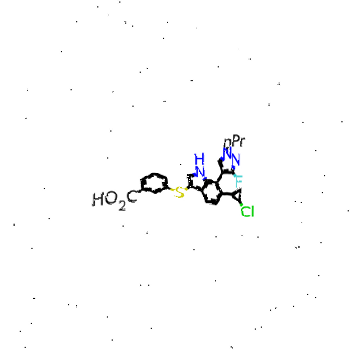 CCCn1cc(-c2c(C3CC3Cl)ccc3c(Sc4cccc(C(=O)O)c4)c[nH]c23)c(F)n1